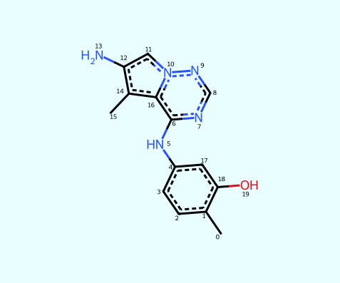 Cc1ccc(Nc2ncnn3cc(N)c(C)c23)cc1O